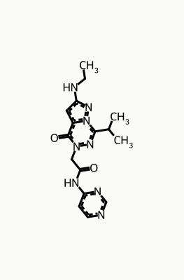 CCNc1cc2c(=O)n(CC(=O)Nc3ccncn3)nc(C(C)C)n2n1